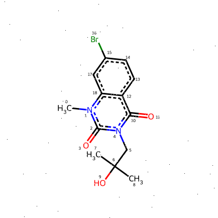 Cn1c(=O)n(CC(C)(C)O)c(=O)c2ccc(Br)cc21